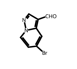 O=Cc1cnn2ccc(Br)cc12